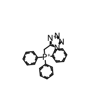 c1ccc([P+](Cc2nnn[n-]2)(c2ccccc2)c2ccccc2)cc1